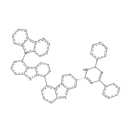 c1ccc(C2=NC(c3ccccc3)NC(c3ccc4c(c3)sc3cccc(-c5cccc6c5sc5cccc(-n7c8ccccc8c8ccccc87)c56)c34)=N2)cc1